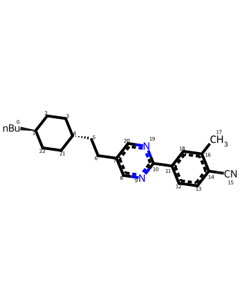 CCCC[C@H]1CC[C@H](CCc2cnc(-c3ccc(C#N)c(C)c3)nc2)CC1